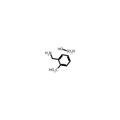 NCc1ccccc1C(=O)O.O=S(=O)(O)O